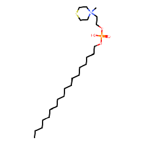 CCCCCCCCCCCCCCCCCCOP(=O)(O)OCC[N+]1(C)CCSCC1